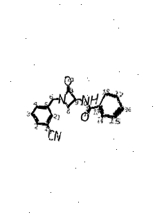 N#Cc1cccc(CN2C[C@H](NC(=O)c3ccccc3)C2=O)c1